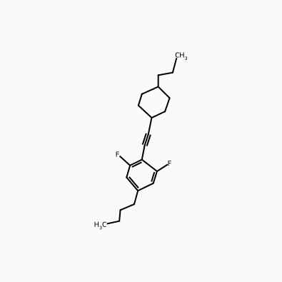 CCCCc1cc(F)c(C#CC2CCC(CCC)CC2)c(F)c1